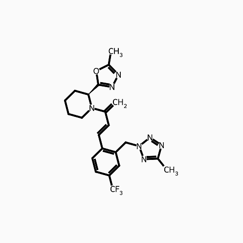 C=C(/C=C/c1ccc(C(F)(F)F)cc1Cn1nnc(C)n1)N1CCCC[C@H]1c1nnc(C)o1